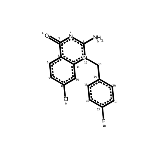 Nc1nc(=O)c2ccc(Cl)cc2n1Cc1ccc(F)cc1